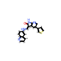 O=C1Nc2ncc(-c3ccsc3)cc2C1=CNc1ccc2ncccc2c1